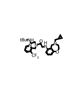 CC(C)(C)NCCN(Cc1ncccc1C(F)(F)F)C(=O)CNc1cccc2c1CN(CC1CC1)CCO2